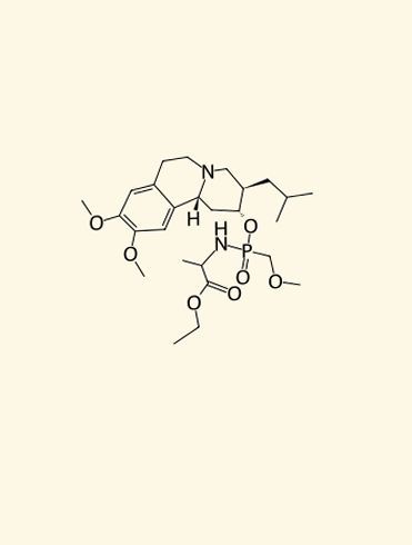 CCOC(=O)C(C)NP(=O)(COC)O[C@@H]1C[C@@H]2c3cc(OC)c(OC)cc3CCN2C[C@H]1CC(C)C